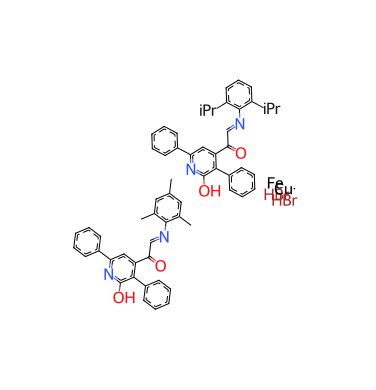 Br.Br.CC(C)c1cccc(C(C)C)c1N=CC(=O)c1cc(-c2ccccc2)nc(O)c1-c1ccccc1.Cc1cc(C)c(N=CC(=O)c2cc(-c3ccccc3)nc(O)c2-c2ccccc2)c(C)c1.[Cu].[Fe]